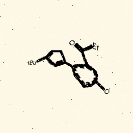 CCC(=O)c1cc(Cl)ccc1C1=CC(C(C)(C)C)=CC1